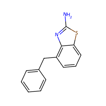 Nc1nc2c(Cc3ccccc3)cccc2s1